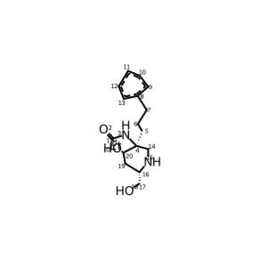 CCC(=O)N[C@@]1(CCCc2ccccc2)CN[C@H](CO)C[C@@H]1O